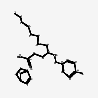 C1=CC2CCC1C2.CCCCCCCCC(CCC(=O)O)OCc1ccc(C)cc1